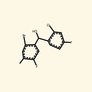 Cc1cc(Br)c(C(O)c2ccc(F)cc2Cl)cc1F